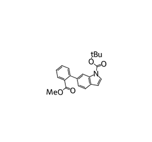 COC(=O)c1ccccc1-c1ccc2ccn(C(=O)OC(C)(C)C)c2c1